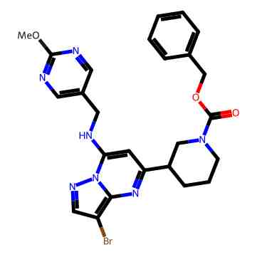 COc1ncc(CNc2cc(C3CCCN(C(=O)OCc4ccccc4)C3)nc3c(Br)cnn23)cn1